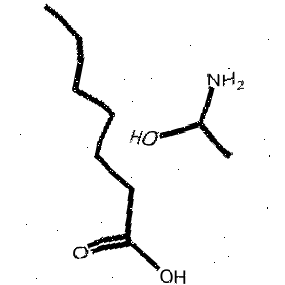 CC(N)O.CCCCCCC(=O)O